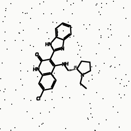 CCN1CCC[C@H]1CNc1c(-c2nc3ccccc3[nH]2)c(=O)[nH]c2cc(Cl)ccc12